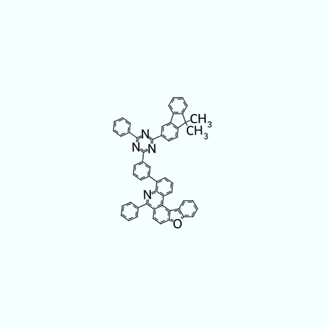 CC1(C)c2ccccc2-c2cc(-c3nc(-c4ccccc4)nc(-c4cccc(-c5cccc6c5nc(-c5ccccc5)c5ccc7oc8ccccc8c7c56)c4)n3)ccc21